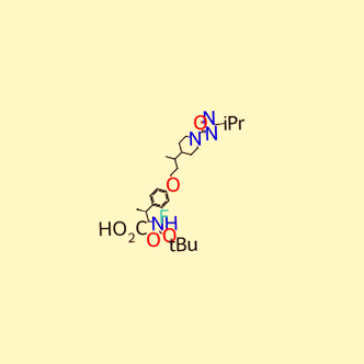 CC(C)c1noc(N2CCC(C(C)CCOc3ccc([C@H](C)[C@H](NC(=O)OC(C)(C)C)C(=O)O)c(F)c3)CC2)n1